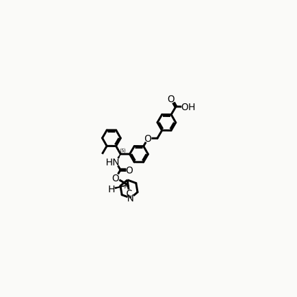 CC1CC=CC=C1[C@H](NC(=O)O[C@H]1CN2CCC1CC2)c1cccc(OCc2ccc(C(=O)O)cc2)c1